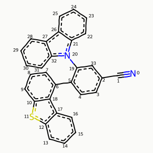 N#Cc1ccc(-c2cccc3sc4ccccc4c23)c(-n2c3ccccc3c3ccccc32)c1